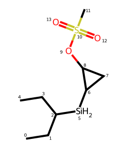 CCC(CC)[SiH2]C1CC1OS(C)(=O)=O